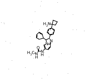 CNC(=O)NC1=CN2C(=NC(c3ccc(C4(N)CCC4)cc3)C2C2C=CC=CC2)C=C1